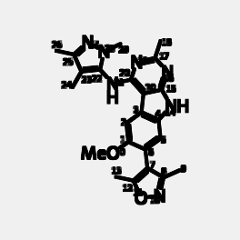 COc1cc2c(cc1-c1c(C)noc1C)[nH]c1nc(C)nc(Nc3c(C)c(C)nn3C)c12